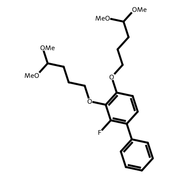 COC(CCCOc1ccc(-c2ccccc2)c(F)c1OCCCC(OC)OC)OC